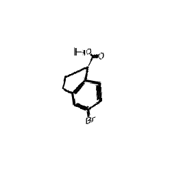 O=C(O)[C@@H]1CCc2cc(Br)ccc21